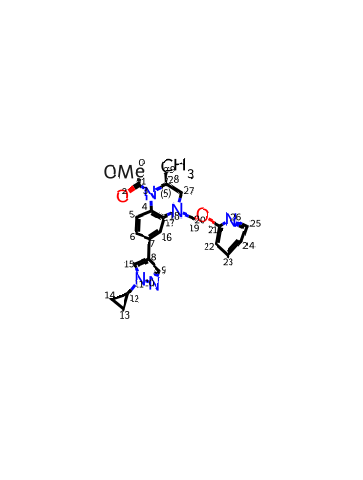 COC(=O)N1c2ccc(-c3cnn(C4CC4)c3)cc2N(COc2ccccn2)C[C@@H]1C